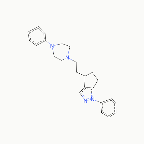 c1ccc(N2CCN(CCC3CCc4c3cnn4-c3ccccc3)CC2)cc1